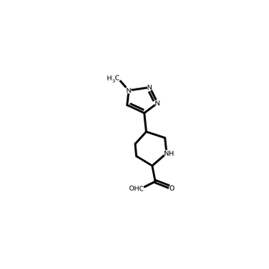 Cn1cc(C2CCC(C(=O)C=O)NC2)nn1